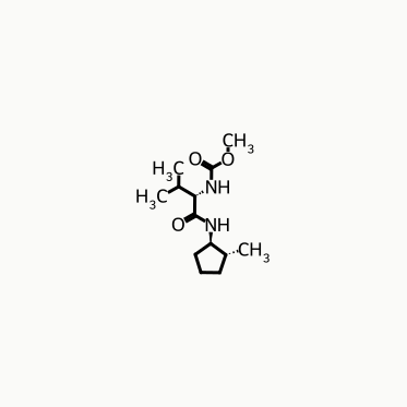 COC(=O)N[C@H](C(=O)N[C@@H]1CCC[C@H]1C)C(C)C